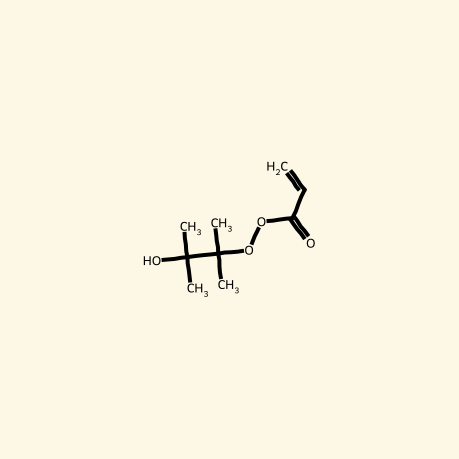 C=CC(=O)OOC(C)(C)C(C)(C)O